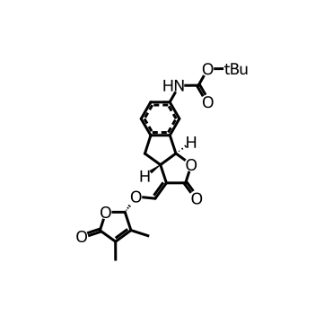 CC1=C(C)[C@@H](O/C=C2/C(=O)O[C@@H]3c4cc(NC(=O)OC(C)(C)C)ccc4C[C@@H]23)OC1=O